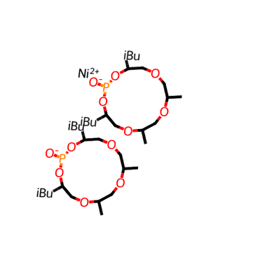 CCC(C)C1COCC(C)OCC(C)OCC(C(C)CC)OP([O-])O1.CCC(C)C1COCC(C)OCC(C)OCC(C(C)CC)OP([O-])O1.[Ni+2]